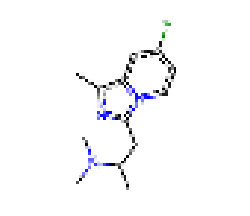 Cc1nc(CC(C)N(C)C)n2ccc(F)cc12